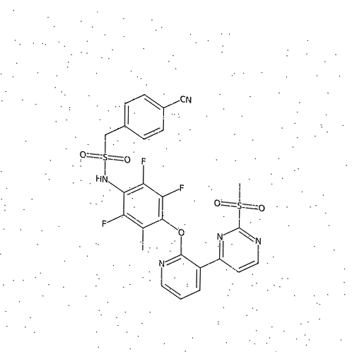 Cc1c(F)c(NS(=O)(=O)Cc2ccc(C#N)cc2)c(F)c(F)c1Oc1ncccc1-c1ccnc(S(C)(=O)=O)n1